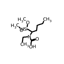 CCCCC(N(CC)C(=O)O)[SiH](OC)OC